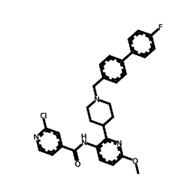 COc1ccc(NC(=O)c2ccnc(Cl)c2)c(C2CCN(Cc3ccc(-c4ccc(F)cc4)cc3)CC2)n1